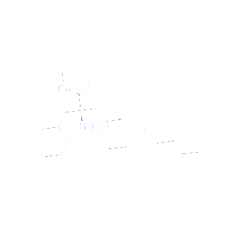 CCCCO[C@@H]1CCC[C@H](C[C@](N)(CC2CCCCC2)C(=O)NC)C1